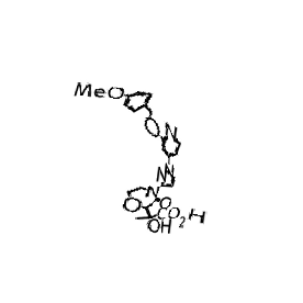 COc1ccc(COc2cc(-n3ccc(N4CCOC(C(C)(O)C(=O)O)C4=O)n3)ccn2)cc1